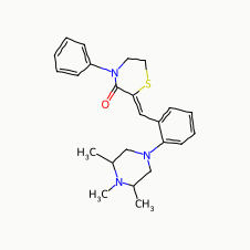 CC1CN(c2ccccc2/C=C2\SCCN(c3ccccc3)C2=O)CC(C)N1C